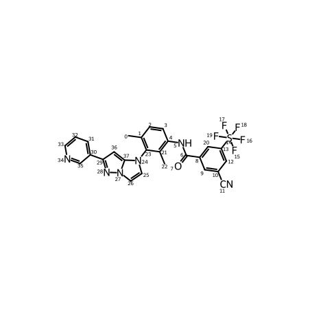 Cc1ccc(NC(=O)c2cc(C#N)cc(S(F)(F)(F)(F)F)c2)c(C)c1-n1ccn2nc(-c3cccnc3)cc12